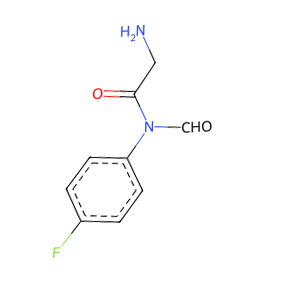 NCC(=O)N(C=O)c1ccc(F)cc1